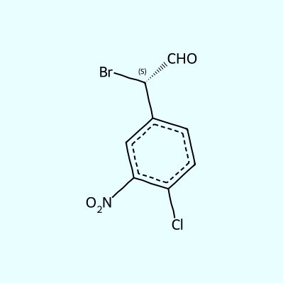 O=C[C@@H](Br)c1ccc(Cl)c([N+](=O)[O-])c1